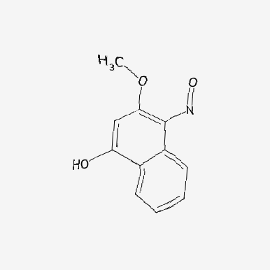 COc1cc(O)c2ccccc2c1N=O